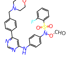 O=CON(c1ccc(Nc2cc(-c3ccc(CN4CCOCC4)cc3)ncn2)cc1)S(=O)(=O)c1ccccc1F